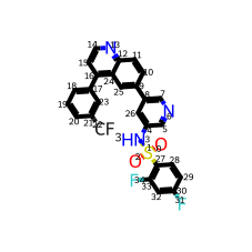 O=S(=O)(Nc1cncc(-c2ccc3nccc(-c4cccc(C(F)(F)F)c4)c3c2)c1)c1ccc(F)cc1F